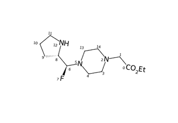 CCOC(=O)CN1CCN([C@@H](F)[C@@H]2CCCN2)CC1